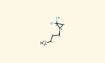 CCCC[C@@H]1CC1(F)F